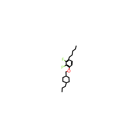 CCCCCc1ccc(OCC2CCC(CCC)CC2)c(F)c1F